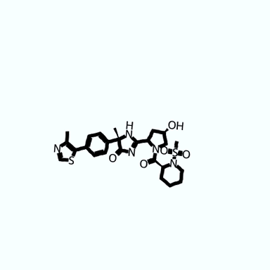 Cc1ncsc1-c1ccc([C@]2(C)NC(C3C[C@@H](O)CN3C(=O)[C@@H]3CCCCN3S(C)(=O)=O)=NC2=O)cc1